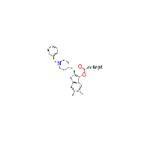 CCCCCCCC(=O)OC1=C(CC2CCN(Cc3ccccc3)CC2)Cc2cc(C)c(C)cc21